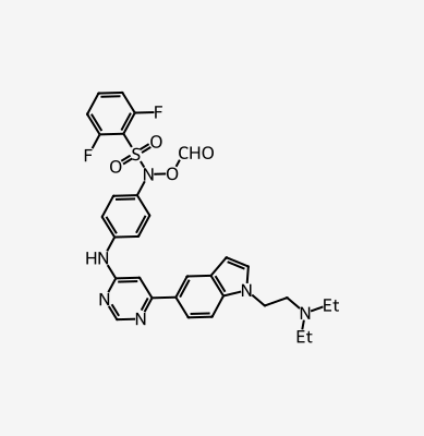 CCN(CC)CCn1ccc2cc(-c3cc(Nc4ccc(N(OC=O)S(=O)(=O)c5c(F)cccc5F)cc4)ncn3)ccc21